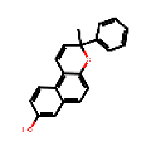 CC1(c2ccccc2)C=Cc2c(ccc3cc(O)ccc23)O1